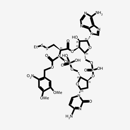 CCSSC[C@@H](C(=O)O[C@H]1[C@@H](O)[C@H](n2cnc3c(N)ncnc32)O[C@@H]1COP(=O)(O)O[C@H]1C[C@H](n2ccc(N)nc2=O)O[C@@H]1COP(=O)(O)O)N(C)C(=O)OCc1cc(OC)c(OC)cc1[N+](=O)[O-]